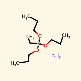 CCCO[Si](CC)(OCCC)OCCC.N